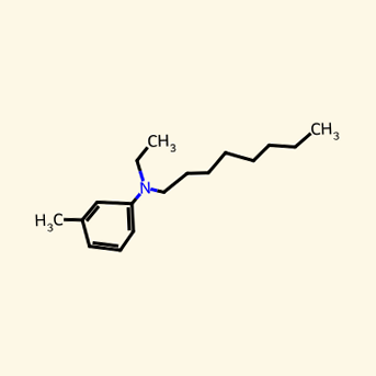 CCCCCCCCN(CC)c1cccc(C)c1